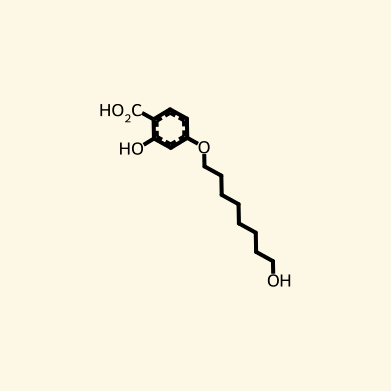 O=C(O)c1ccc(OCCCCCCCCO)cc1O